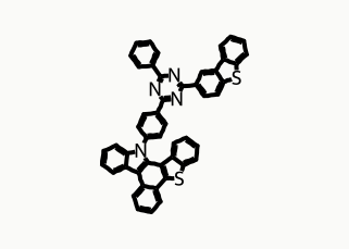 c1ccc(-c2nc(-c3ccc(-n4c5ccccc5c5c6ccccc6c6sc7ccccc7c6c54)cc3)nc(-c3ccc4sc5ccccc5c4c3)n2)cc1